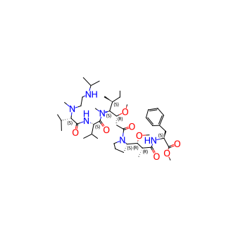 CC[C@H](C)[C@@H]([C@@H](CC(=O)N1CCC[C@H]1[C@H](OC)[C@@H](C)C(=O)N[C@@H](Cc1ccccc1)C(=O)OC)OC)N(C)C(=O)[C@@H](NC(=O)[C@H](C(C)C)N(C)CCNC(C)C)C(C)C